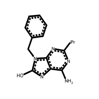 CC(C)c1nc(N)c2nc(O)n(Cc3ccccc3)c2n1